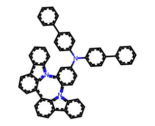 c1ccc(-c2ccc(N(c3ccc(-c4ccccc4)cc3)c3ccc4c(c3)n3c5ccccc5c5cccc(c6cccc7c8ccccc8n4c76)c53)cc2)cc1